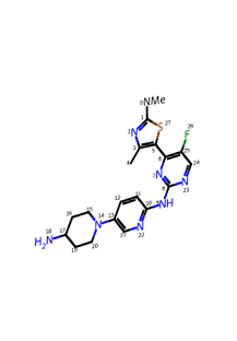 CNc1nc(C)c(-c2nc(Nc3ccc(N4CCC(N)CC4)cn3)ncc2F)s1